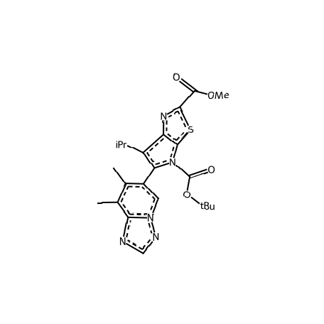 COC(=O)c1nc2c(C(C)C)c(-c3cn4ncnc4c(C)c3C)n(C(=O)OC(C)(C)C)c2s1